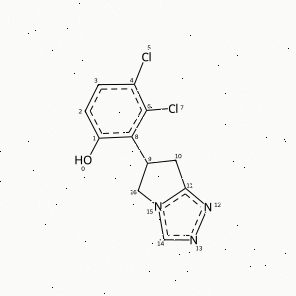 Oc1ccc(Cl)c(Cl)c1C1Cc2nn[c]n2C1